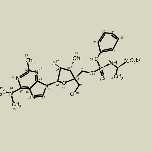 CCOC(=O)[C@@H](C)N[P@@](=S)(OC[C@@]1(CCl)O[C@@H](n2cnc3c(N(C)C)nc(C)nc32)[C@H](F)[C@@H]1O)Oc1ccccc1